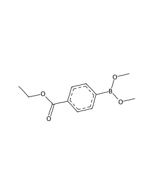 CCOC(=O)c1ccc(B(OC)OC)cc1